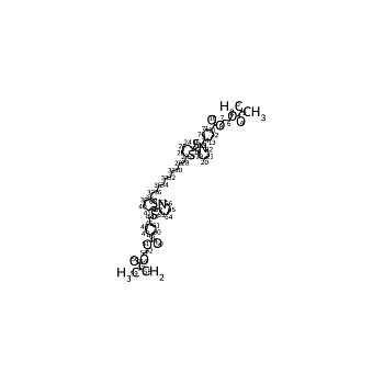 C=C(C)C(=O)OCCOC(=O)c1ccc(CSC2(c3ccccn3)CC=CC(CCCCCCCCCCC3C=CCC(SCc4ccc(C(=O)OCCOC(=O)C(=C)C)cc4)(c4ccccn4)S3)S2)cc1